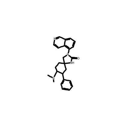 CN(C)C1CCC2(CC1c1ccccc1)CN(c1cccc3cnccc13)C(=O)N2